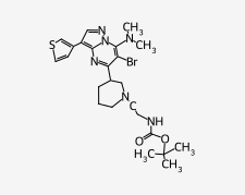 CN(C)c1c(Br)c(C2CCCN(CCNC(=O)OC(C)(C)C)C2)nc2c(-c3ccsc3)cnn12